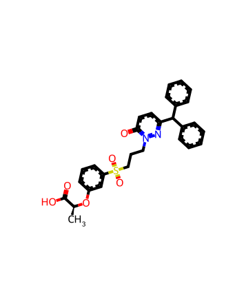 C[C@H](Oc1cccc(S(=O)(=O)CCCn2nc(C(c3ccccc3)c3ccccc3)ccc2=O)c1)C(=O)O